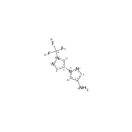 Nc1cnn(-c2cnn(C(F)(F)F)c2)c1